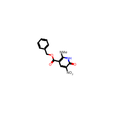 CNc1[nH]c(=O)c([N+](=O)[O-])cc1C(=O)OCc1ccccc1